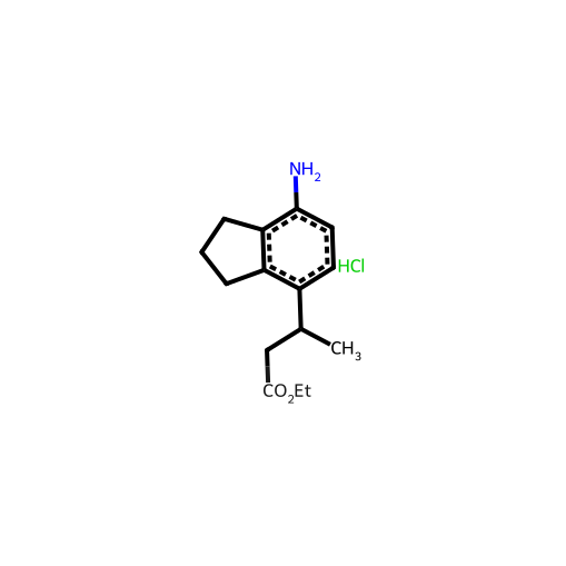 CCOC(=O)CC(C)c1ccc(N)c2c1CCC2.Cl